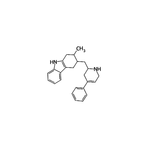 CC1Cc2[nH]c3ccccc3c2CC1CC1CC(c2ccccc2)=CCN1